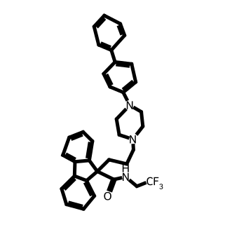 O=C(NCC(F)(F)F)C1(CCCN2CCN(c3ccc(-c4ccccc4)cc3)CC2)c2ccccc2-c2ccccc21